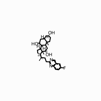 C[C@H](CCc1ncc2cc(F)ccc2n1)[C@H]1CC[C@H]2[C@H]3C(C[C@H](O)[C@]12C)[C@@]1(C)CC[C@@H](O)C[C@H]1C[C@H]3O